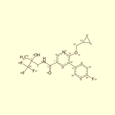 CC(O)(CNC(=O)c1cnc(OCC2CC2)c(-c2ccc(F)cc2)c1)C(F)(F)F